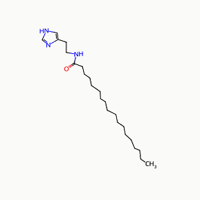 CCCCCCCCCCCCCCCCCC(=O)NCCc1c[nH]cn1